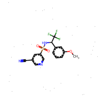 COc1cccc(C(NS(=O)(=O)c2cncc(C#N)c2)C(F)(F)F)c1